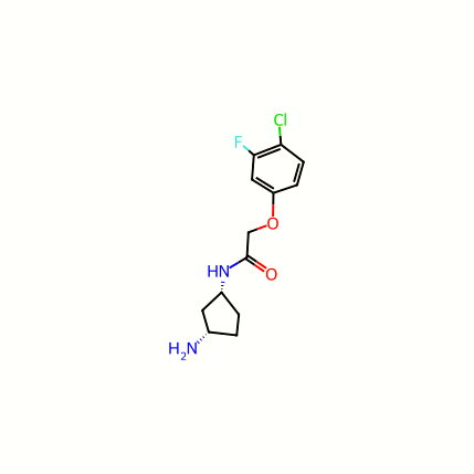 N[C@H]1CC[C@@H](NC(=O)COc2ccc(Cl)c(F)c2)C1